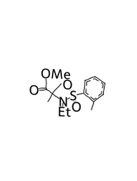 CCN(C(C)(C)C(=O)OC)S(=O)(=O)c1ccccc1C